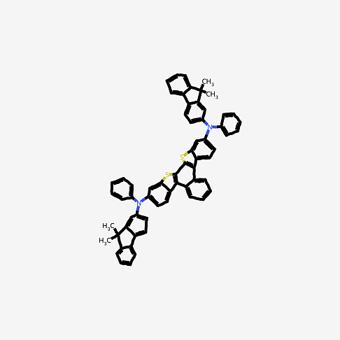 CC1(C)c2ccccc2-c2ccc(N(c3ccccc3)c3ccc4c(c3)sc3c5sc6cc(N(c7ccccc7)c7ccc8c(c7)C(C)(C)c7ccccc7-8)ccc6c5c5ccccc5c43)cc21